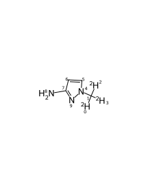 [2H]C([2H])([2H])n1ccc(N)n1